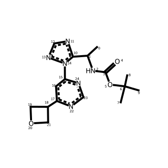 CC(NC(=O)OC(C)(C)C)c1ncnn1-c1cc(C2COC2)ncn1